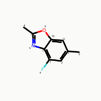 Cc1cc(F)c2nc(C)oc2c1